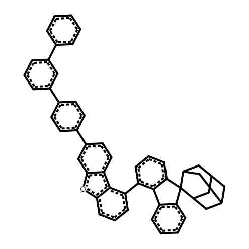 c1ccc(-c2cccc(-c3ccc(-c4ccc5c(c4)oc4cccc(-c6cccc7c6-c6ccccc6C76C7CC8CC(C7)CC6C8)c45)cc3)c2)cc1